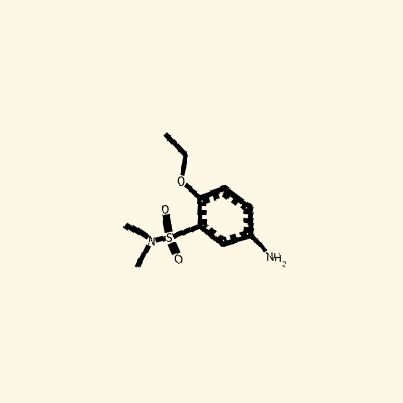 CCOc1ccc(N)cc1S(=O)(=O)N(C)C